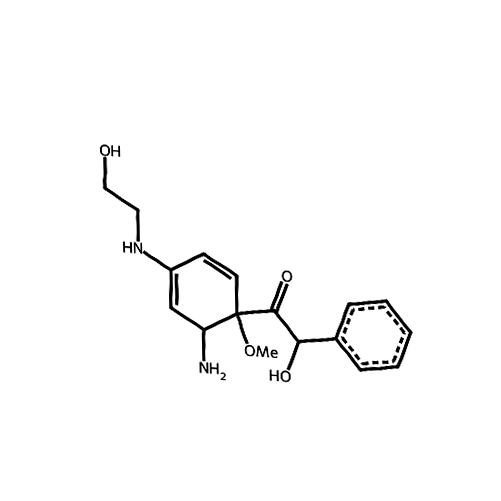 COC1(C(=O)C(O)c2ccccc2)C=CC(NCCO)=CC1N